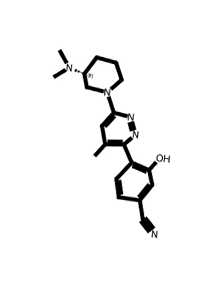 Cc1cc(N2CCC[C@@H](N(C)C)C2)nnc1-c1ccc(C#N)cc1O